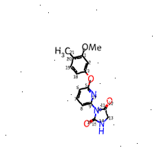 COc1cc(Oc2cccc(N3C(=O)CNC3=O)n2)ccc1C